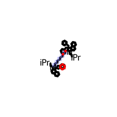 CC(C)CCN1/C(=C/C=C/C=C/C=C/C=C/C2=[N+](CCC(C)C)c3ccc4ccccc4c3C2(Cc2ccccc2)Cc2ccccc2)C(Cc2ccccc2)(Cc2ccccc2)c2c1ccc1ccccc21